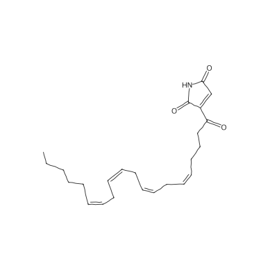 CCCCC/C=C\C/C=C\C/C=C\C/C=C\CCCC(=O)C1=CC(=O)NC1=O